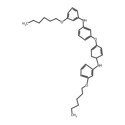 CCCCCCOc1cccc(Nc2cccc(OC3=CCC(Nc4cccc(OCCCCCC)c4)C=C3)c2)c1